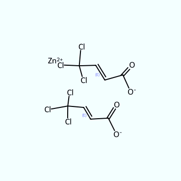 O=C([O-])/C=C/C(Cl)(Cl)Cl.O=C([O-])/C=C/C(Cl)(Cl)Cl.[Zn+2]